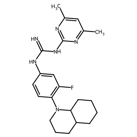 Cc1cc(C)nc(NC(=N)Nc2ccc(N3CCCC4CCCCC43)c(F)c2)n1